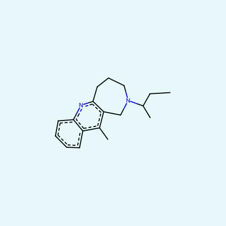 CCC(C)N1CCCc2nc3ccccc3c(C)c2C1